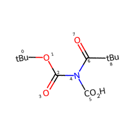 CC(C)(C)OC(=O)N(C(=O)O)C(=O)C(C)(C)C